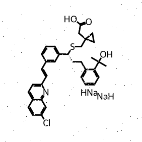 CC(C)(O)c1ccccc1CC[C@@H](SCC1(CC(=O)O)CC1)c1cccc(/C=C/c2ccc3ccc(Cl)cc3n2)c1.[NaH].[NaH]